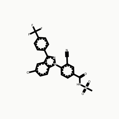 CS(=O)(=O)NC(=O)c1ccc(-n2nc(-c3ccc(C(F)(F)F)cc3)c3cc(Cl)ccc32)c(C#N)c1